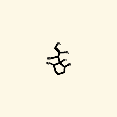 CCC1CCC[C@@H](C)C1(O)C(O)/C(N)=C/N